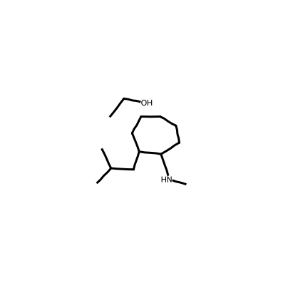 CCO.CNC1CCCCCC1CC(C)C